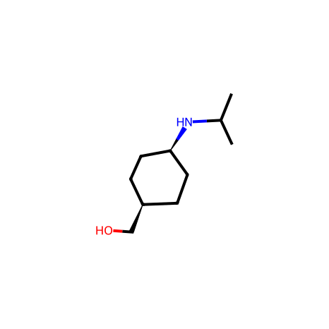 CC(C)N[C@H]1CC[C@@H](CO)CC1